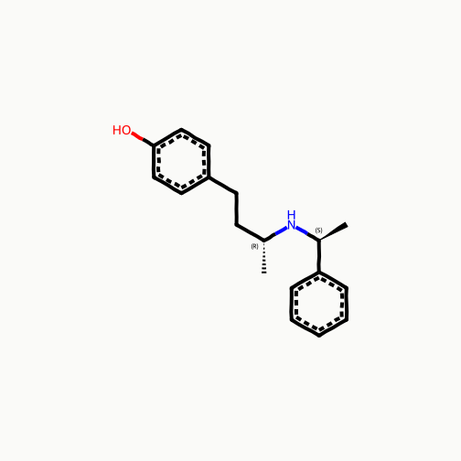 C[C@H](CCc1ccc(O)cc1)N[C@@H](C)c1ccccc1